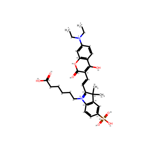 CCN(CC)c1ccc2c(O)c(/C=C/C3=[N+](CCCCCC(=O)O)c4ccc(S(=O)(=O)O)cc4C3(C)C)c(=O)oc2c1